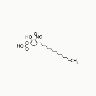 CCCCCCCCCCCCCc1ccc(OC(=O)O)c(O)c1[N+](=O)[O-]